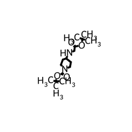 CC(C)(C)OC(=O)CNC1CCN(C(=O)OC(C)(C)C)CC1